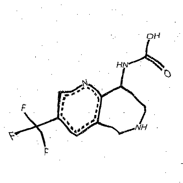 O=C(O)NC1CNCc2cc(C(F)(F)F)cnc21